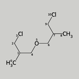 CC(CCl)COCC(C)CCl